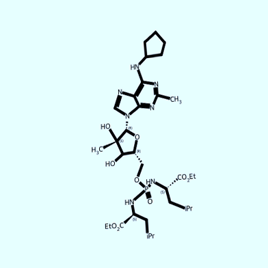 CCOC(=O)[C@H](CC(C)C)NP(=O)(N[C@@H](CC(C)C)C(=O)OCC)OC[C@H]1O[C@@H](n2cnc3c(NC4CCCC4)nc(C)nc32)[C@@](C)(O)C1O